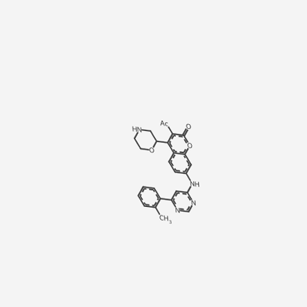 CC(=O)c1c(C2CNCCO2)c2ccc(Nc3cc(-c4ccccc4C)ncn3)cc2oc1=O